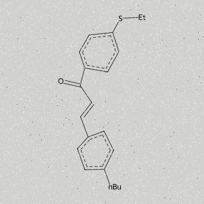 CCCCc1ccc(C=CC(=O)c2ccc(SCC)cc2)cc1